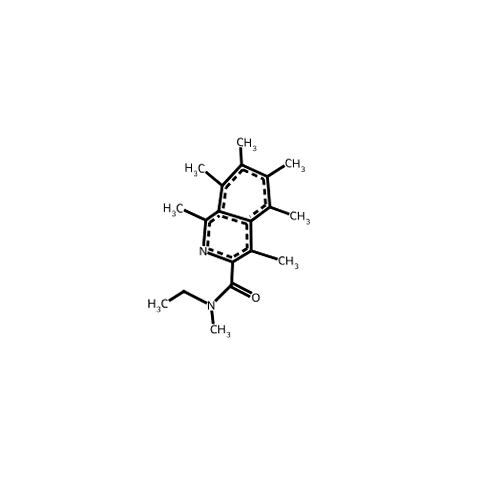 CCN(C)C(=O)c1nc(C)c2c(C)c(C)c(C)c(C)c2c1C